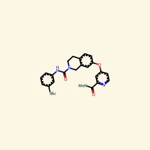 CNC(=O)c1cc(Oc2ccc3c(c2)CN(C(=O)Nc2cccc(C(C)(C)C)c2)CC3)ccn1